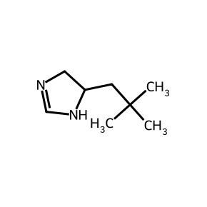 CC(C)(C)CC1CN=CN1